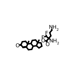 CC12CCC(=O)C=C1CCC1C2CCC2(C)C(OC(=O)C(N)(CCCN)C(F)F)CCC12